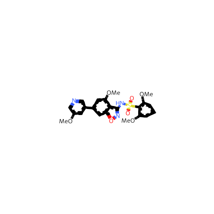 COc1cncc(-c2cc(OC)c3c(NS(=O)(=O)c4c(OC)cccc4OC)noc3c2)c1